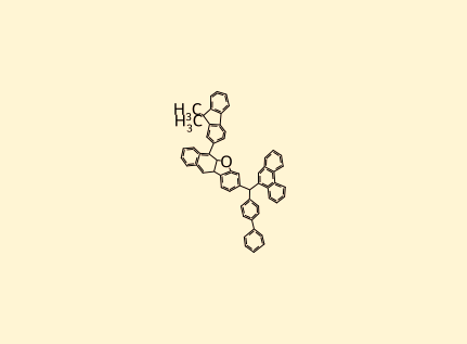 CC1(C)c2ccccc2-c2ccc(C3=c4ccccc4=CC4c5ccc(C(c6ccc(-c7ccccc7)cc6)c6cc7ccccc7c7ccccc67)cc5OC34)cc21